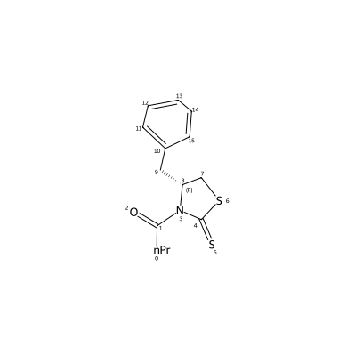 CCCC(=O)N1C(=S)SC[C@H]1Cc1ccccc1